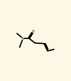 CC=CCC(=O)N(C)C